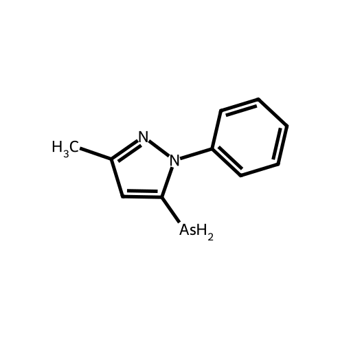 Cc1cc([AsH2])n(-c2ccccc2)n1